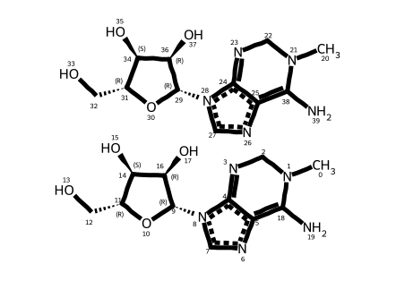 CN1CN=c2c(ncn2[C@@H]2O[C@H](CO)[C@@H](O)[C@H]2O)=C1N.CN1CN=c2c(ncn2[C@@H]2O[C@H](CO)[C@@H](O)[C@H]2O)=C1N